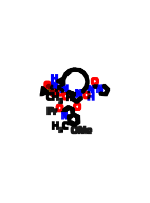 COc1ccc2c(O[C@@H]3C[C@H]4C(=O)N[C@]5(C(=O)NS(=O)(=O)C6(C)CC6)CC5/C=C\CCCCC[C@H](NC(=O)N5CCCC5)C(=O)N4C3)cc(OC(C)C)nc2c1C